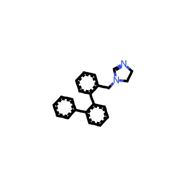 C1=NCCN1Cc1ccccc1-c1ccccc1-c1ccccc1